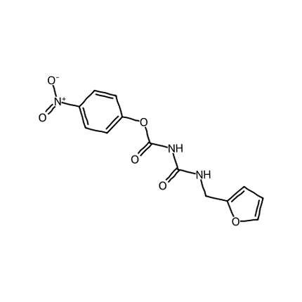 O=C(NCc1ccco1)NC(=O)Oc1ccc([N+](=O)[O-])cc1